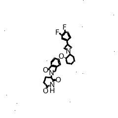 O=C1CCC(N2Cc3cc(O[C@H]4CCCC[C@H]4N4CC(c5ccc(F)c(F)c5)C4)ccc3C2=O)C(=O)N1